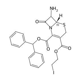 NC1C(=O)N2C(C(=O)OC(c3ccccc3)c3ccccc3)=C(C(=O)OCCI)CS[C@@H]12